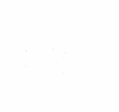 COc1nc(NS(=O)(=O)c2c[nH]c3nc(Cl)ccc23)ncc1OC(F)(F)CF